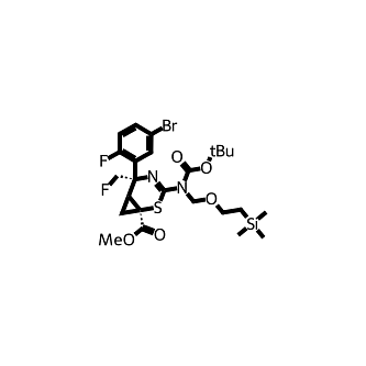 COC(=O)[C@]12CC1[C@@](CF)(c1cc(Br)ccc1F)N=C(N(COCC[Si](C)(C)C)C(=O)OC(C)(C)C)S2